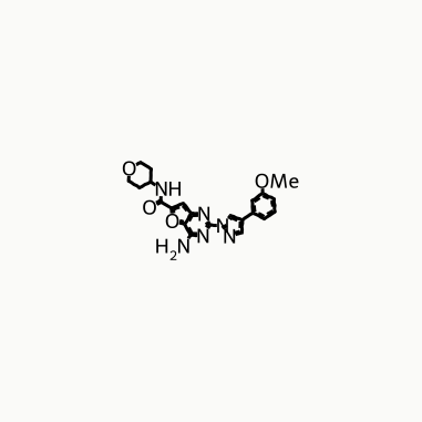 COc1cccc(-c2cnn(-c3nc(N)c4oc(C(=O)NC5CCOCC5)cc4n3)c2)c1